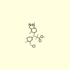 COC(=O)C(C)(C)C(c1ccc(C)c(CCl)c1)c1ccc2c(cnn2C)c1C